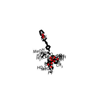 COC(=O)N[C@H](C(=O)N[C@@H](Cc1ccc(C#Cc2cnc(N3CC4CCC(C3)N4C3COC3)nc2)cc1)[C@H](CN(Cc1c(F)cc(-c2ccn(C(F)F)n2)cc1F)NC(=O)[C@@H](NC(=O)OC)C(C)(C)C(F)(F)F)OC(=O)CC(C)(C)c1c(CC(=O)N[C@@H](CS(=O)(=O)O)C(=O)OC)cc(C)cc1OP(=O)(O)O)C(C)(C)C(F)(F)F